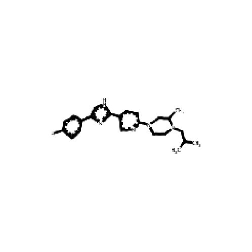 CC(C)CN1CCN(c2ccc(-c3nc(-c4ccc(F)cc4)c[nH]3)cn2)CC1C